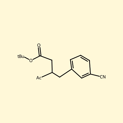 CC(=O)C(CC(=O)OC(C)(C)C)Cc1cccc(C#N)c1